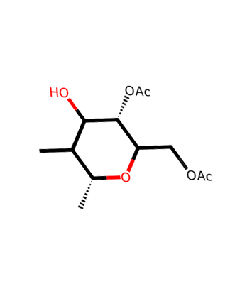 CC(=O)OCC1O[C@H](C)C(C)C(O)[C@@H]1OC(C)=O